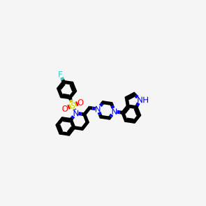 O=S(=O)(c1ccc(F)cc1)N1c2ccccc2CCC1CN1CCN(c2cccc3[nH]ccc23)CC1